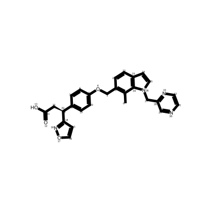 Cc1c(COc2ccc([C@H](CC(=O)O)c3ccon3)cc2)ccc2ccn(Cc3cnccn3)c12